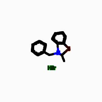 Br.CC1Sc2ccccc2N1Cc1ccccc1